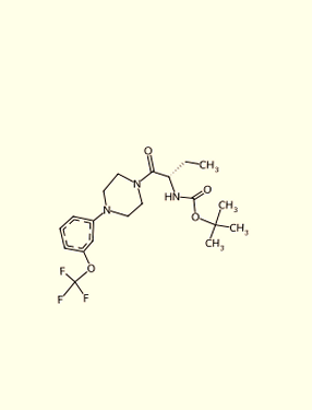 CC[C@H](NC(=O)OC(C)(C)C)C(=O)N1CCN(c2cccc(OC(F)(F)F)c2)CC1